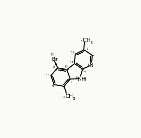 Cc1cnc2[nH]c3c(C)ccc(Br)c3c2c1